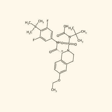 CCOc1ccc2c(c1)CCN(S(=O)(=O)N(C(=O)O)C(C)(C)C)[C@H]2C(=O)Nc1cc(F)c([Si](C)(C)C)c(F)c1